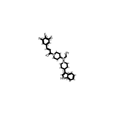 CC(C)CN(C1CCN(C(=O)/C=C/c2cc(F)c(F)c(F)c2)CC1)N1CCC(c2c[nH]c3ccccc23)CC1